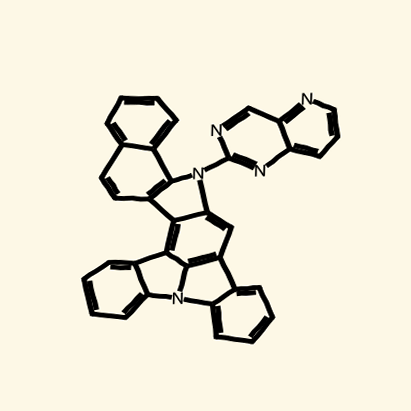 c1ccc2c(c1)ccc1c3c4c5ccccc5n5c6ccccc6c(cc3n(-c3ncc6ncccc6n3)c21)c45